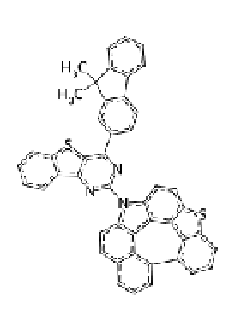 CC1(C)c2ccccc2-c2ccc(-c3nc(-n4c5ccc6cccc7c6c5c5c6c(ccc54)sc4cccc-7c46)nc4c3sc3ccccc34)cc21